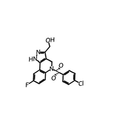 O=S(=O)(c1ccc(Cl)cc1)N1Cc2c(CO)n[nH]c2-c2cc(F)ccc21